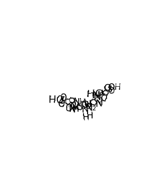 [N-]=[N+](c1ccc(NC(=O)Nc2ccc([N+](=[N-])c3c(N)ccc4cc(S(=O)(=O)O)cc(O)c34)cc2)cc1)c1c(N)ccc2cc(S(=O)(=O)O)cc(O)c12